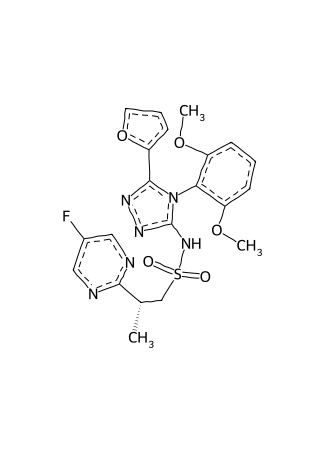 COc1cccc(OC)c1-n1c(NS(=O)(=O)C[C@H](C)c2ncc(F)cn2)nnc1-c1ccco1